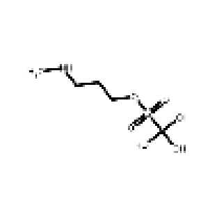 CNCCCOS(=O)(=O)C(O)(O)O